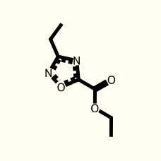 CCOC(=O)c1nc(CC)no1